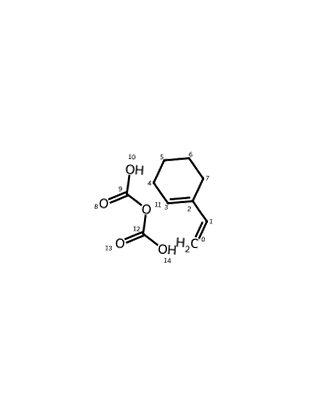 C=CC1=CCCCC1.O=C(O)OC(=O)O